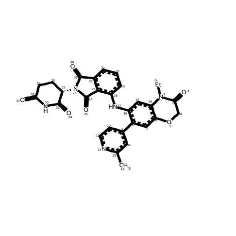 CCN1C(=O)COc2cc(-c3ccnc(C)c3)c(Nc3cccc4c3C(=O)N([C@H]3CCC(=O)NC3=O)C4=O)cc21